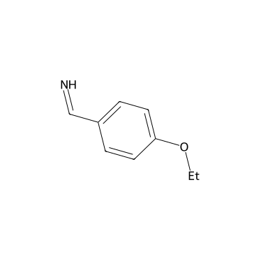 CCOc1ccc(C=N)cc1